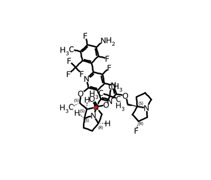 Cc1c(F)c(N)c(F)c(-c2nc3c4c(nc(OC[C@@]56CCCN5C[C@H](F)C6)nc4c2F)N2C[C@H]4CC[C@@H]([C@H]2[C@H](C)O3)N4C(=O)OC(C)(C)C)c1C(F)(F)F